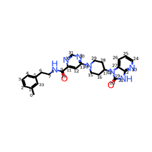 Cc1cccc(CCNC(=O)c2cc(N3CCC(n4c(=O)[nH]c5ncccc54)CC3)ncn2)c1